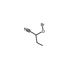 CCC(C#N)OBr